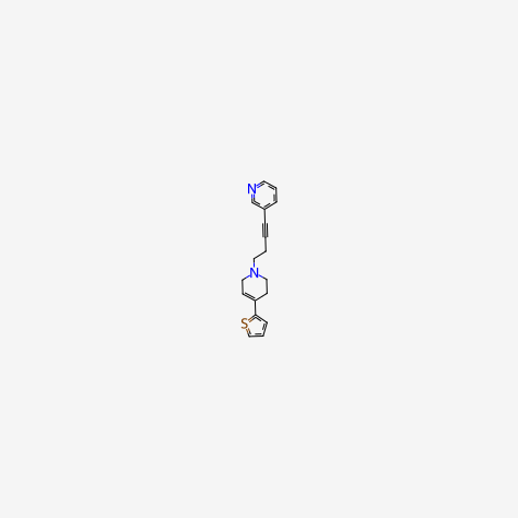 C(#Cc1cccnc1)CCN1CC=C(c2cccs2)CC1